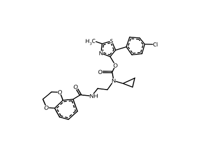 Cc1nc(OC(=O)N(CCNC(=O)c2cccc3c2OCCO3)C2CC2)c(-c2ccc(Cl)cc2)s1